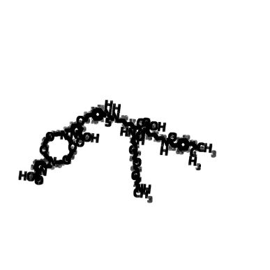 CNCCOCCOCCOCCC(=O)NC(CCCCNC(=S)Nc1ccc(CCOc2cc(CN3CCOCCOCCN(Cc4cccc(C(=O)O)n4)CCOCCOCC3)nc(C(=O)O)c2)cc1)C(=O)NC(CCCCNC(=O)Cc1ccc(CC(C)C)cc1)C(=O)O